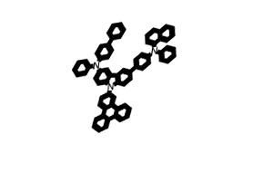 c1ccc(-c2ccc(N(c3ccccc3)c3ccc4c(c3)c3cc(-c5ccc(N(c6ccccc6)c6cccc7ccccc67)cc5)ccc3n4-c3ccc4c5ccccc5c5ccccc5c4c3)cc2)cc1